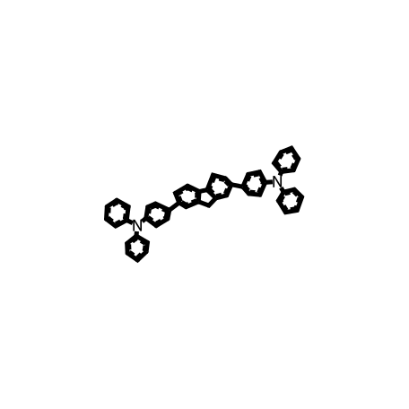 c1ccc(N(c2ccccc2)c2ccc(-c3ccc4c(c3)Cc3cc(-c5ccc(N(c6ccccc6)c6ccccc6)cc5)ccc3-4)cc2)cc1